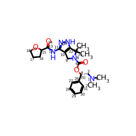 CN(C)C[C@@H](OC(=O)N1Cc2c(NC(=O)C3CCCO3)n[nH]c2C1(C)C)c1ccccc1